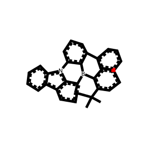 CC1(C)c2ccccc2B2c3c(-c4ccccc4)cccc3-n3c4ccccc4c4ccc1c2c43